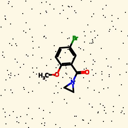 COc1ccc(Br)cc1C(=O)N1CC1